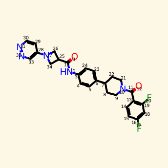 O=C(Nc1ccc(C2CCN(C(=O)c3ccc(F)cc3F)CC2)cc1)C1CN(c2ccnnc2)C1